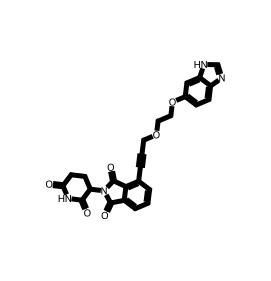 O=C1CCC(N2C(=O)c3cccc(C#CCOCCOc4ccc5nc[nH]c5c4)c3C2=O)C(=O)N1